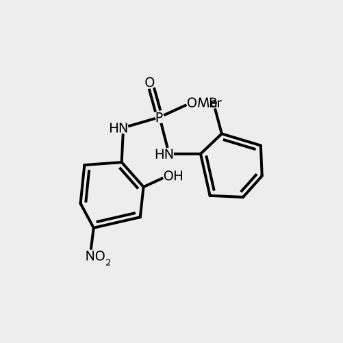 COP(=O)(Nc1ccc([N+](=O)[O-])cc1O)Nc1ccccc1Br